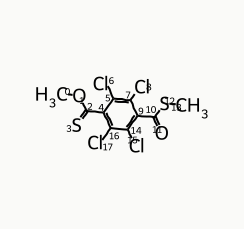 COC(=S)c1c(Cl)c(Cl)c(C(=O)SC)c(Cl)c1Cl